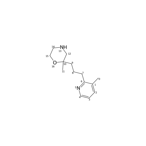 Cc1cccnc1CCCC1(C)CNCCO1